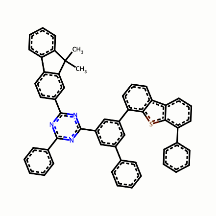 CC1(C)c2ccccc2-c2ccc(-c3nc(-c4ccccc4)nc(-c4cc(-c5ccccc5)cc(-c5cccc6c5sc5c(-c7ccccc7)cccc56)c4)n3)cc21